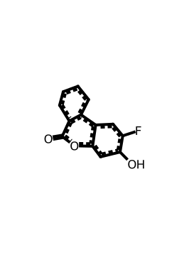 O=c1oc2cc(O)c(F)cc2c2ccccc12